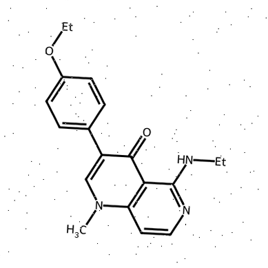 CCNc1nccc2c1c(=O)c(-c1ccc(OCC)cc1)cn2C